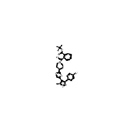 Cc1onc(-c2ccc(Cl)cc2)c1-c1csc(C2CCN(C(=O)c3ccccc3C(=O)OC(C)(C)C)CC2)n1